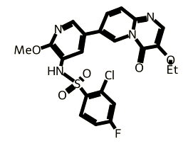 CCOc1cnc2ccc(-c3cnc(OC)c(NS(=O)(=O)c4ccc(F)cc4Cl)c3)cn2c1=O